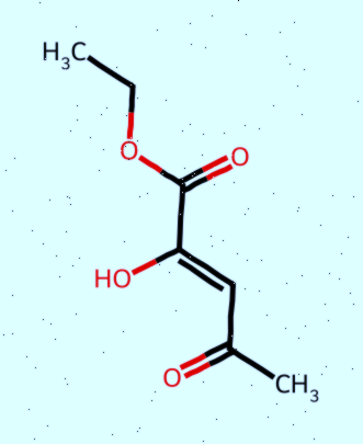 CCOC(=O)/C(O)=C/C(C)=O